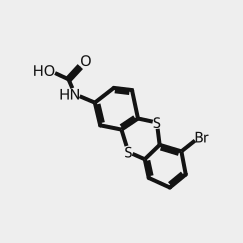 O=C(O)Nc1ccc2c(c1)Sc1cccc(Br)c1S2